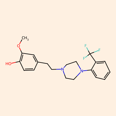 COc1cc(CCN2CCN(c3ccccc3C(F)(F)F)CC2)ccc1O